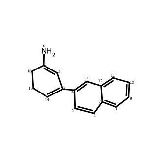 NC1=CC(c2ccc3ccccc3c2)=CC[CH]1